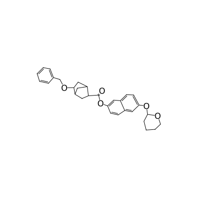 O=C(Oc1ccc2cc(OC3CCCCO3)ccc2c1)C1CC2CC1CC2OCc1ccccc1